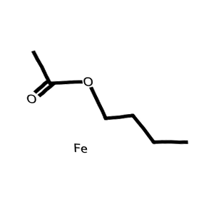 CCCCOC(C)=O.[Fe]